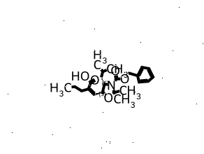 CCCC(=C[C@@H]1OC(C)(C)N(C(=O)OCc2ccccc2)[C@H]1CC(C)C)C(=O)O